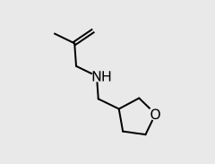 C=C(C)CNCC1CCOC1